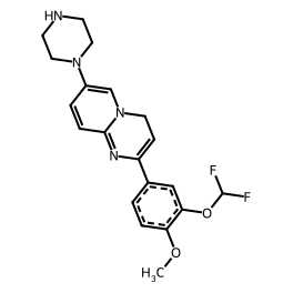 COc1ccc(C2=CCN3C=C(N4CCNCC4)C=CC3=N2)cc1OC(F)F